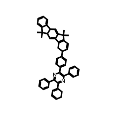 CC1(C)C2=CC3c4ccccc4C(C)(C)C3C=C2C2=C1C=CC(c1ccc(-c3nc(-c4ccccc4)c(C4=CC=CCC4)nc3-c3ccccc3)cc1)C2